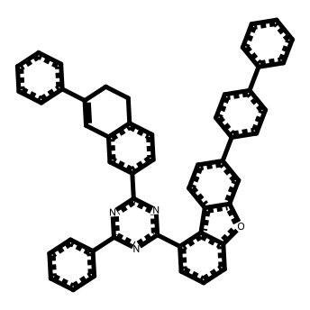 C1=C(c2ccccc2)CCc2ccc(-c3nc(-c4ccccc4)nc(-c4cccc5oc6cc(-c7ccc(-c8ccccc8)cc7)ccc6c45)n3)cc21